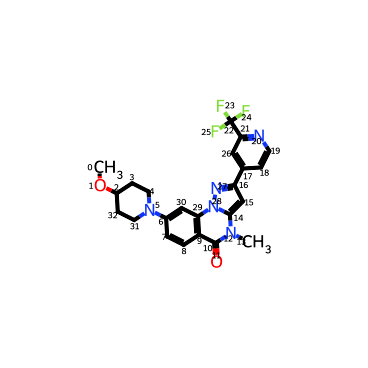 COC1CCN(c2ccc3c(=O)n(C)c4cc(-c5ccnc(C(F)(F)F)c5)nn4c3c2)CC1